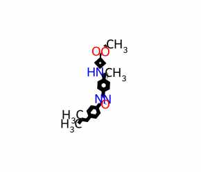 CCOC(=O)[C@H]1C[C@@H](N[C@H](C)c2ccc(-c3noc(C4C=CC(CC(C)C)=CC4)n3)cc2)C1